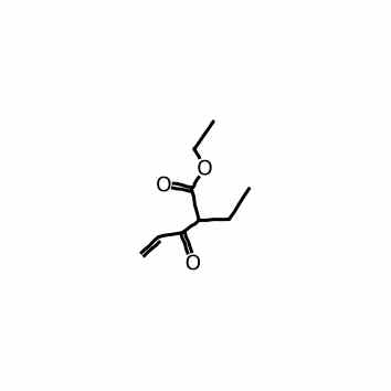 C=CC(=O)C(CC)C(=O)OCC